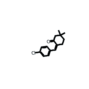 CC1(C)CCC(=Cc2ccc(Cl)cc2)C(=O)C1